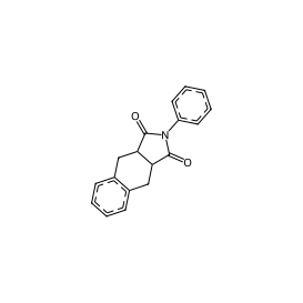 O=C1C2Cc3ccccc3CC2C(=O)N1c1ccccc1